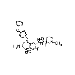 CN1CCCC(F)(c2nc(-c3cc4c(cc3F)S(=O)(=O)C[C@H](N)CN4Cc3ccc(Oc4ccccc4)cc3)no2)C1